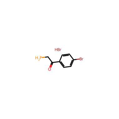 Br.O=C(CP)c1ccc(Br)cc1